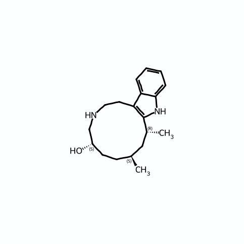 C[C@H]1CC[C@H](O)CNCCc2c([nH]c3ccccc23)[C@H](C)C1